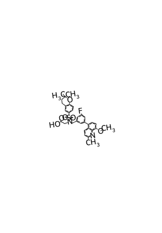 COc1ccc(-c2cc(F)cc(CN(CC(=O)O)S(=O)(=O)c3ccc4c(c3)CCC(C)(C)O4)c2)c2ccc(C)nc12